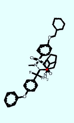 CN([C@H](C(=O)C1C2CCC1CC(N)C2)C(F)(F)c1ccc(Oc2ccccc2)cc1)S(=O)(=O)c1ccc(OCC2CCCCC2)cc1